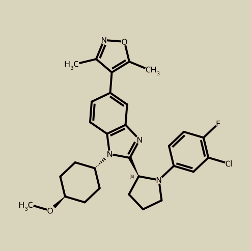 CO[C@H]1CC[C@H](n2c([C@@H]3CCCN3c3ccc(F)c(Cl)c3)nc3cc(-c4c(C)noc4C)ccc32)CC1